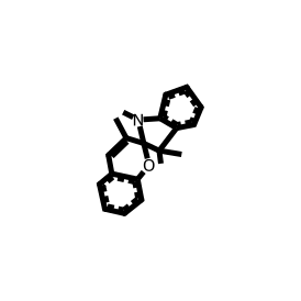 CC1=Cc2ccccc2OC12N(C)c1ccccc1C2(C)C